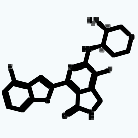 N[C@H]1COCC[C@H]1Nc1nc(-c2cc3c(F)cccc3s2)c2c(c1F)CNC2=O